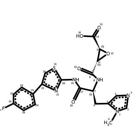 Cn1cncc1C[C@H](NC(=O)[C@H]1O[C@@H]1C(=O)O)C(=O)Nc1nc(-c2ccc(F)cc2)cs1